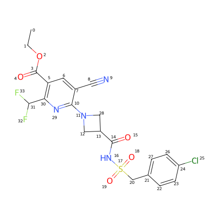 CCOC(=O)c1cc(C#N)c(N2CC(C(=O)NS(=O)(=O)Cc3ccc(Cl)cc3)C2)nc1C(F)F